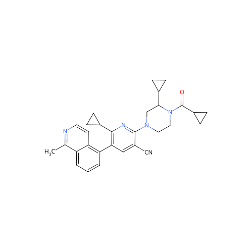 Cc1nccc2c(-c3cc(C#N)c(N4CCN(C(=O)C5CC5)C(C5CC5)C4)nc3C3CC3)cccc12